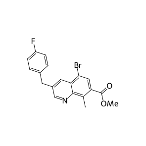 COC(=O)c1cc(Br)c2cc(Cc3ccc(F)cc3)cnc2c1C